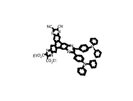 CCOC(=O)c1nc2cc3c4cc5nc(C#N)c(C#N)nc5cc4c4cc5nc(-c6ccc(N(c7ccccc7)c7ccccc7)cc6)c(-c6ccc(N(c7ccccc7)c7ccccc7)cc6)nc5cc4c3cc2nc1C(=O)OCC